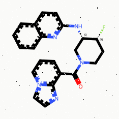 O=C(c1cccn2ccnc12)N1CC[C@@H](F)[C@@H](Nc2ccc3ccccc3n2)C1